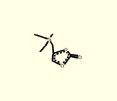 C[Si](C)(C)c1coc(=O)o1